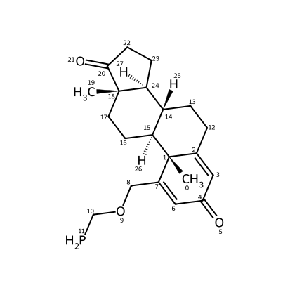 C[C@@]12C(=CC(=O)C=C1COCP)CC[C@@H]1[C@@H]2CC[C@]2(C)C(=O)CC[C@@H]12